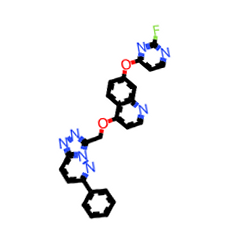 Fc1nccc(Oc2ccc3c(OCc4nnc5ccc(-c6ccccc6)nn45)ccnc3c2)n1